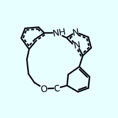 C1=CC2COCCCc3cccc(c3)Nc3nccc(n3)C(=C1)C2